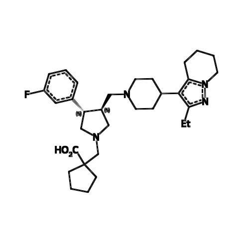 CCc1nn2c(c1C1CCN(C[C@H]3CN(CC4(C(=O)O)CCCC4)C[C@@H]3c3cccc(F)c3)CC1)CCCC2